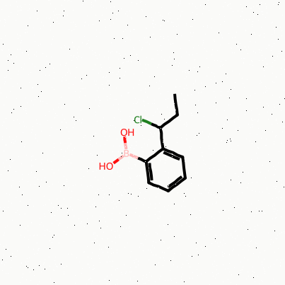 CCC(Cl)c1ccccc1B(O)O